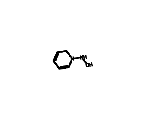 ONN1C=CC=CC1